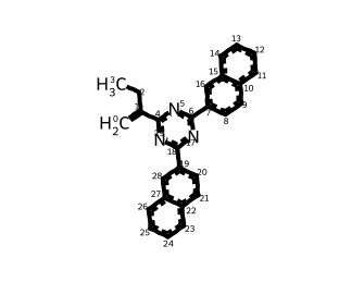 C=C(CC)c1nc(-c2ccc3ccccc3c2)nc(-c2ccc3ccccc3c2)n1